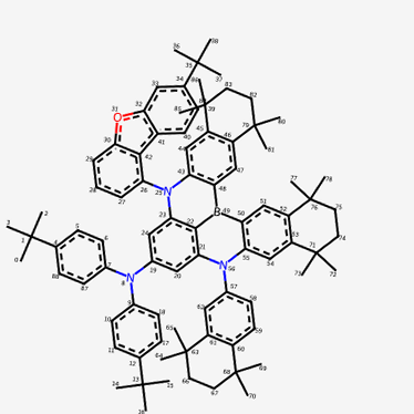 CC(C)(C)c1ccc(N(c2ccc(C(C)(C)C)cc2)c2cc3c4c(c2)N(c2cccc5oc6cc(C(C)(C)C)ccc6c25)c2cc5c(cc2B4c2cc4c(cc2N3c2ccc3c(c2)C(C)(C)CCC3(C)C)C(C)(C)CCC4(C)C)C(C)(C)CCC5(C)C)cc1